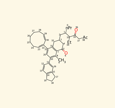 CCCC(CC1CC(=O)c2c(C)c(-c3ccc4c(c3)CCC4)cc(C3=C/CCCCC/C=C\3)c2C1)C(CC)C(=O)CC(C)=O